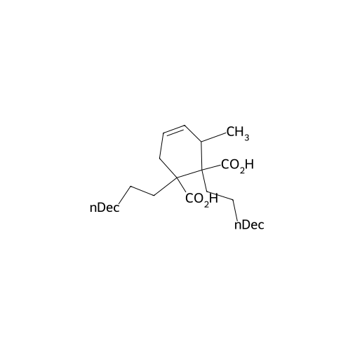 CCCCCCCCCCCCC1(C(=O)O)CC=CC(C)C1(CCCCCCCCCCCC)C(=O)O